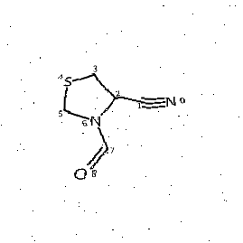 N#CC1CSCN1[C]=O